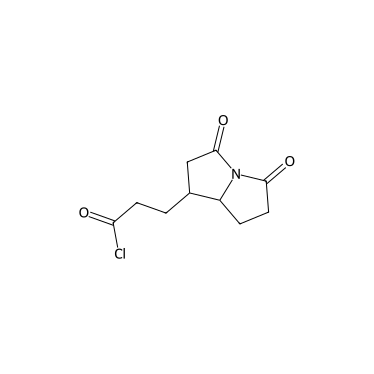 O=C(Cl)CCC1CC(=O)N2C(=O)CCC12